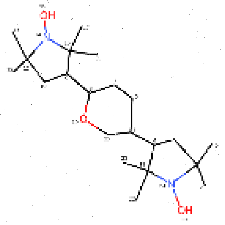 CC1(C)CC(C2CCC(C3CC(C)(C)N(O)C3(C)C)OC2)C(C)(C)N1O